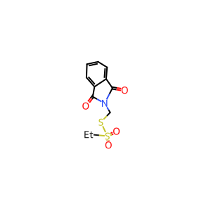 CCS(=O)(=O)SCN1C(=O)c2ccccc2C1=O